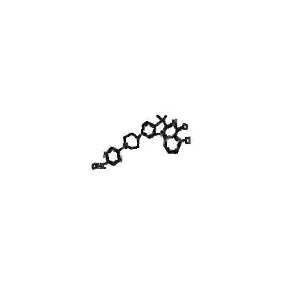 CC1(C)c2ccc(C3CCN(c4cnc(C=O)cn4)CC3)cc2-n2c1nc(=O)c1c(Cl)cccc12